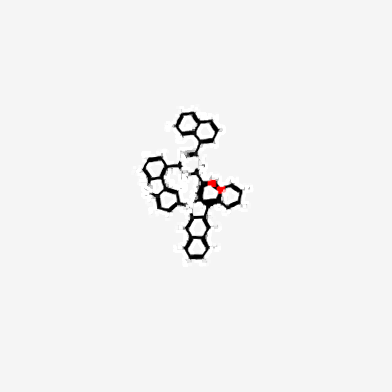 c1ccc(-c2nc(-c3cccc4ccccc34)nc(-c3cccc4sc5ccc(-n6c7cc8ccccc8cc7c7c8ccccc8ccc76)cc5c34)n2)cc1